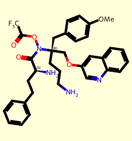 COc1ccc(C[C@](CCCN)(COc2cnc3ccccc3c2)N(OC(=O)C(F)(F)F)C(=O)[C@@H](N)CCc2ccccc2)cc1